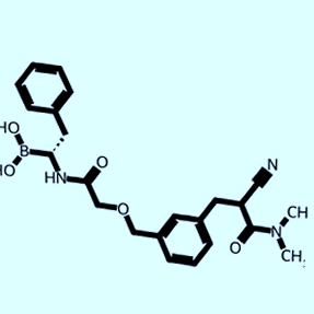 CN(C)C(=O)C(C#N)Cc1cccc(COCC(=O)N[C@@H](Cc2ccccc2)B(O)O)c1